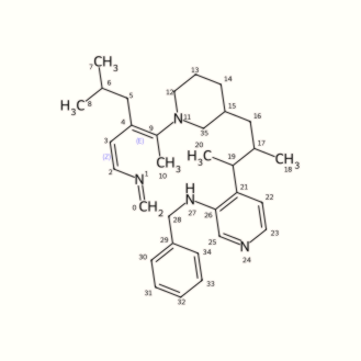 C=N/C=C\C(CC(C)C)=C(/C)N1CCCC(CC(C)C(C)c2ccncc2NCc2ccccc2)C1